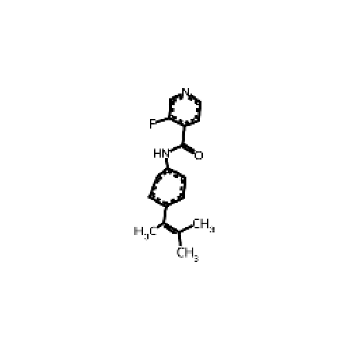 CC(C)=C(C)c1ccc(NC(=O)c2ccncc2F)cc1